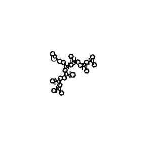 c1ccc(N(c2ccccc2)c2ccc3c4c5ccc6c(c5ccc4n(-c4ccccc4)c3c2)c2ccc(N(c3ccc4cc(-c5cc7ccccc7o5)ccc4c3)c3ccc4c5c7ccc8c(c7ccc5n(-c5ccccc5)c4c3)c3ccc(N(c4ccccc4)c4ccccc4)cc3n8-c3ccccc3)cc2n6-c2ccccc2)cc1